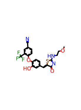 COCCNC1=NC(=O)/C(=C/c2ccc(Oc3ccc(C#N)cc3C(F)(F)F)c(O)c2)S1